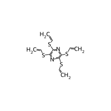 C=CSc1nc(SC=C)c(SC=C)nc1SC=C